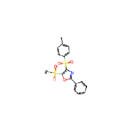 Cc1ccc(S(=O)(=O)c2nc(-c3ccccc3)oc2S(=O)(=O)C(C)C)cc1